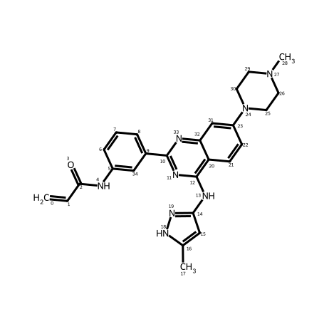 C=CC(=O)Nc1cccc(-c2nc(Nc3cc(C)[nH]n3)c3ccc(N4CCN(C)CC4)cc3n2)c1